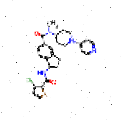 CN(C(=O)c1ccc2c(c1)CCC2NC(=O)c1sccc1Cl)C1CCN(c2ccncc2)CC1